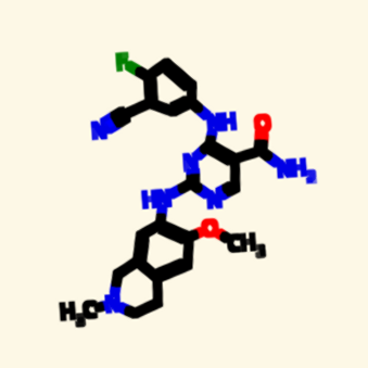 COc1cc2c(cc1Nc1ncc(C(N)=O)c(Nc3ccc(F)c(C#N)c3)n1)CN(C)CC2